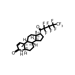 C[C@]12C=CC(=O)N[C@@H]1CC[C@@H]1[C@@H]2CC[C@]2(C)[C@@H](C(=O)C(F)(F)C(F)(F)C(F)(F)C(F)(F)F)CC[C@@H]12